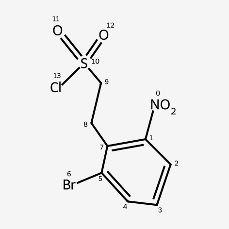 O=[N+]([O-])c1cccc(Br)c1CCS(=O)(=O)Cl